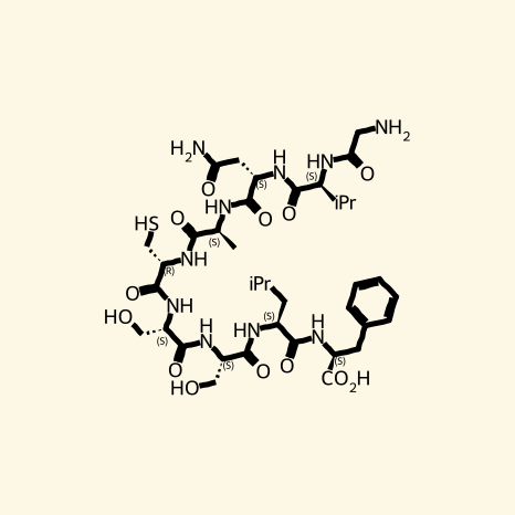 CC(C)C[C@H](NC(=O)[C@H](CO)NC(=O)[C@H](CO)NC(=O)[C@H](CS)NC(=O)[C@H](C)NC(=O)[C@H](CC(N)=O)NC(=O)[C@@H](NC(=O)CN)C(C)C)C(=O)N[C@@H](Cc1ccccc1)C(=O)O